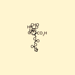 O=CNC1C(=O)N2C(C(=O)O)=C(COC(=O)COC(=O)N3CCC3)C[S+]([O-])[C@H]12